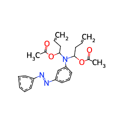 C=CCC(OC(C)=O)N(c1cccc(N=Nc2ccccc2)c1)C(CC=C)OC(C)=O